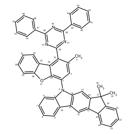 Cc1cc(-n2c3ccccc3c3cc4c(cc32)C(C)(C)c2ccccc2-4)c2oc3ccccc3c2c1-c1nc(-c2ccccc2)nc(-c2ccccc2)n1